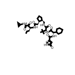 CCC[C@H](NC(=O)C[C@H]1CCC[C@H]1CNC(=O)[C@@H](NC(=O)[C@@H](NC(=O)c1cc(=O)[nH]o1)C1CCCCC1)C(C)(C)C)C(=O)C(=O)NC1CC1